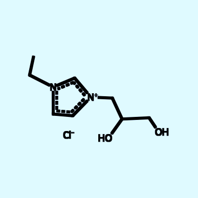 CCn1cc[n+](CC(O)CO)c1.[Cl-]